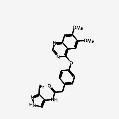 COc1cc2ncnc(Oc3ccc(CC(=O)Nc4c[nH]nc4C(C)C)cc3)c2cc1OC